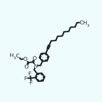 CCCCCCCCCCC#Cc1ccc(CN(Cc2ccccc2C(F)(F)F)C(=O)C(=O)OCC)cc1